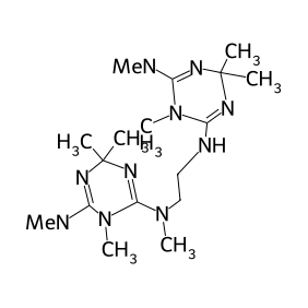 CNC1=NC(C)(C)N=C(NCCN(C)C2=NC(C)(C)N=C(NC)N2C)N1C